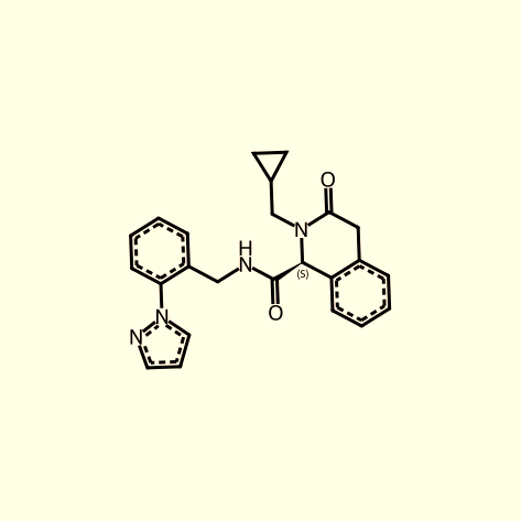 O=C(NCc1ccccc1-n1cccn1)[C@@H]1c2ccccc2CC(=O)N1CC1CC1